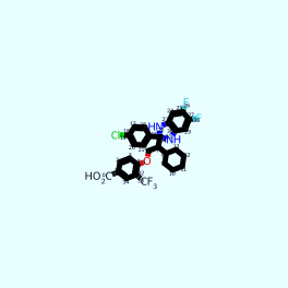 O=C(O)c1ccc(OCC(C2CCCCC2)C2(c3ccc(Cl)cc3)Nc3cc(F)c(F)cc3N2)c(C(F)(F)F)c1